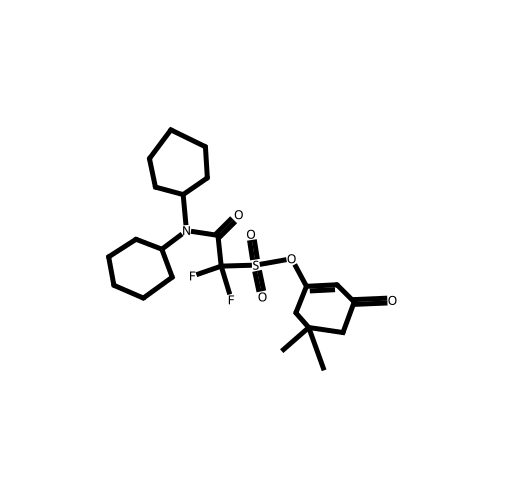 CC1(C)CC(=O)C=C(OS(=O)(=O)C(F)(F)C(=O)N(C2CCCCC2)C2CCCCC2)C1